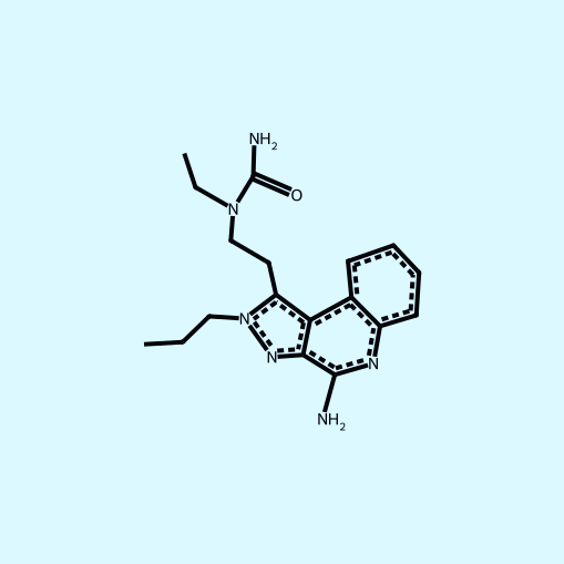 CCCn1nc2c(N)nc3ccccc3c2c1CCN(CC)C(N)=O